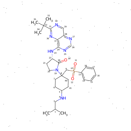 CC(C)CNC1CCC(CS(=O)(=O)c2ccccc2)(N2CC[C@H](Nc3ncnc4cnc(C(C)(C)C)nc34)C2=O)CC1